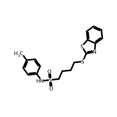 Cc1ccc(NS(=O)(=O)CCCCSc2nc3ccccc3s2)cc1